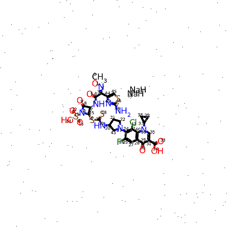 CO/N=C(\C(=O)N[C@H]1C(=O)N(S(=O)(=O)O)C1SC(=S)NC1CCN(c2c(F)cc3c(=O)c(C(=O)O)cn(C4CC4)c3c2Cl)C1)c1csc(N)n1.[NaH].[NaH]